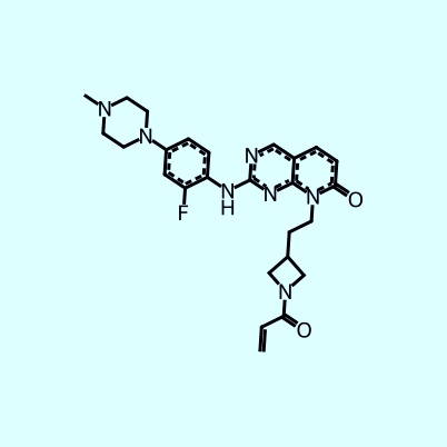 C=CC(=O)N1CC(CCn2c(=O)ccc3cnc(Nc4ccc(N5CCN(C)CC5)cc4F)nc32)C1